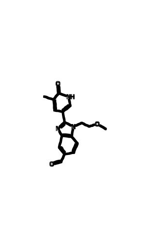 COCCn1c(-c2c[nH]c(=O)c(C)c2)nc2cc(C=O)ccc21